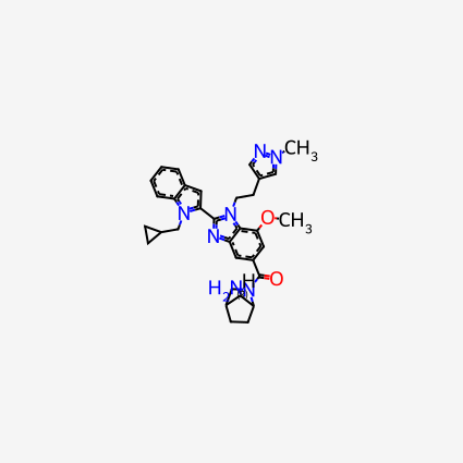 COc1cc(C(=O)N2CC3CCC2[C@@H]3N)cc2nc(-c3cc4ccccc4n3CC3CC3)n(CCc3cnn(C)c3)c12